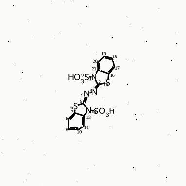 O=S(=O)(O)n1c(=NN=c2sc3ccccc3n2S(=O)(=O)O)sc2ccccc21